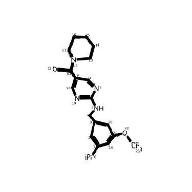 CC(C)c1cc(CNc2ncc(C(=O)N3CCCCC3)cn2)cc(OC(F)(F)F)c1